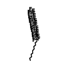 CCCCCCCCCCCC(F)(F)C(F)(F)C(F)(F)C(F)(F)C(F)(F)C(F)(F)C(F)(F)C(F)(F)C(F)(F)C(F)(F)C(F)(F)C(F)(F)C(F)(F)F